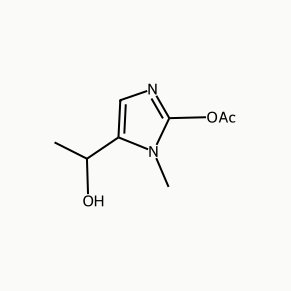 CC(=O)Oc1ncc(C(C)O)n1C